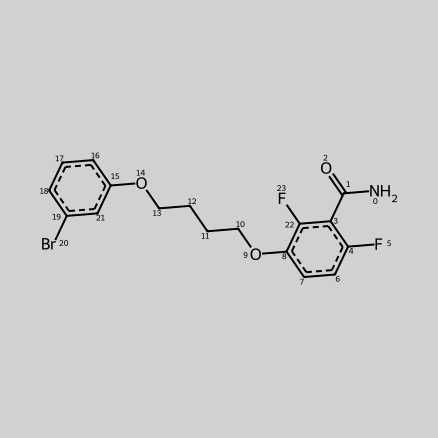 NC(=O)c1c(F)ccc(OCCCCOc2cccc(Br)c2)c1F